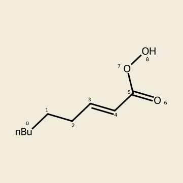 CCCCCCC=CC(=O)OO